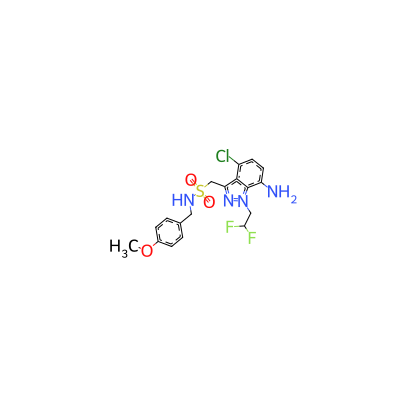 COc1ccc(CNS(=O)(=O)Cc2nn(CC(F)F)c3c(N)ccc(Cl)c23)cc1